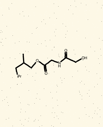 CC(C)CC(C)COC(=O)CNC(=O)CO